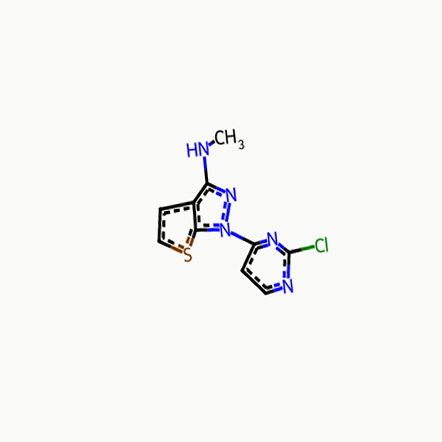 CNc1nn(-c2ccnc(Cl)n2)c2sccc12